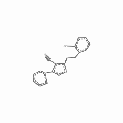 N#Cc1c(-c2ccccc2)csc1OCc1ccccc1Br